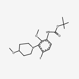 COc1c(NC(=O)OC(C)(C)C)ccc(F)c1N1CCC(OC)CC1